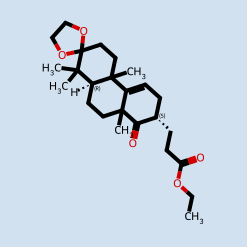 CCOC(=O)CC[C@H]1CC=C2C(C)(CC[C@@H]3C2(C)CCC2(OCCO2)C3(C)C)C1=O